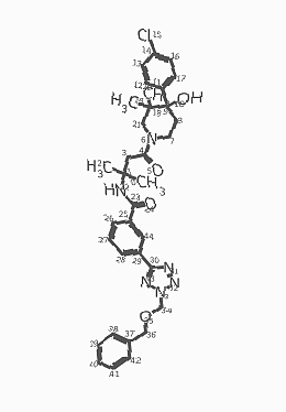 CC(C)(CC(=O)N1CCC(O)(c2ccc(Cl)cc2)C(C)(C)C1)NC(=O)c1cccc(-c2nnn(COCc3ccccc3)n2)c1